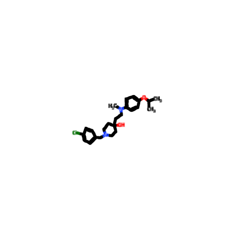 CC(C)Oc1ccc(N(C)CCC2(O)CCN(Cc3ccc(Cl)cc3)CC2)cc1